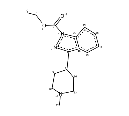 CCOC(=O)n1nc(C2CCN(C)CC2)c2ccccc21